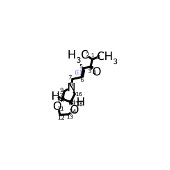 CC(C)C(=O)/C=C/CN1C[C@@H]2OCCO[C@@H]2C1